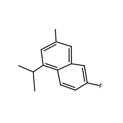 Cc1cc(C(C)C)c2ccc(F)cc2c1